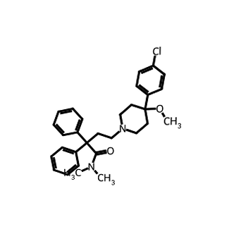 COC1(c2ccc(Cl)cc2)CCN(CCC(C(=O)N(C)C)(c2ccccc2)c2ccccc2)CC1